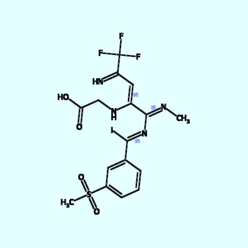 C/N=C(\N=C(/I)c1cccc(S(C)(=O)=O)c1)C(=C/C(=N)C(F)(F)F)/NCC(=O)O